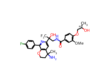 COc1cc(C(=O)NCC(O)(c2cc3c(c(-c4ccc(F)cc4)n2)OCCC3(C)N)C(F)(F)F)ccc1OC[C@@H](C)O